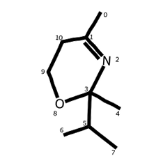 CC1=NC(C)(C(C)C)OCC1